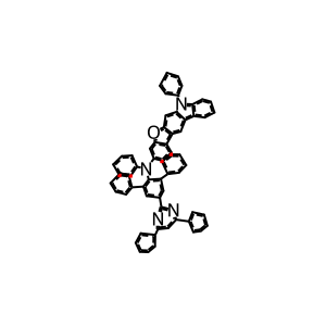 c1ccc(-c2cc(-c3ccccc3)nc(-c3cc(-c4ccccc4)c(N(c4ccccc4)c4ccc5c(c4)oc4cc6c(cc45)c4ccccc4n6-c4ccccc4)c(-c4ccccc4)c3)n2)cc1